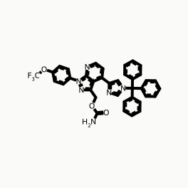 NC(=O)OCc1nn(-c2ccc(OC(F)(F)F)cc2)c2nccc(-c3cn(C(c4ccccc4)(c4ccccc4)c4ccccc4)cn3)c12